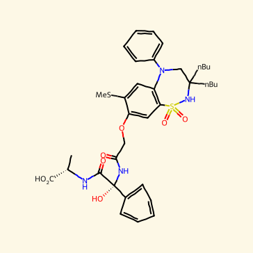 CCCCC1(CCCC)CN(c2ccccc2)c2cc(SC)c(OCC(=O)N[C@](O)(C(=O)N[C@@H](C)C(=O)O)c3ccccc3)cc2S(=O)(=O)N1